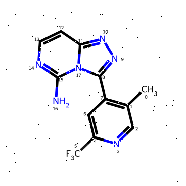 Cc1cnc(C(F)(F)F)cc1-c1nnc2ccnc(N)n12